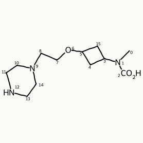 CN(C(=O)O)C1CC(OCCN2CCNCC2)C1